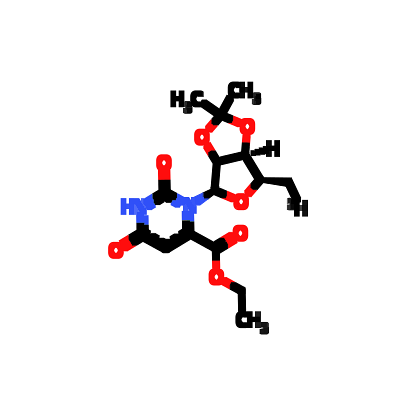 [3H]C[C@H]1O[C@@H](n2c(C(=O)OCC)cc(=O)[nH]c2=O)C2OC(C)(C)O[C@H]21